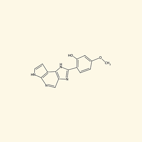 COc1ccc(-c2nc3cnc4[nH]ccc4c3[nH]2)c(O)c1